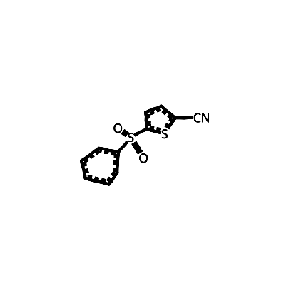 N#Cc1ccc(S(=O)(=O)c2ccccc2)s1